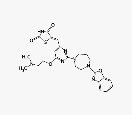 CN(C)CCOc1cc(/C=C2\SC(=O)NC2=O)nc(N2CCCN(c3nc4ccccc4o3)CC2)n1